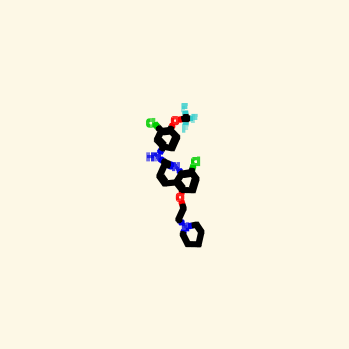 FC(F)(F)Oc1ccc(Nc2ccc3c(OCCN4CCCCC4)ccc(Cl)c3n2)cc1Cl